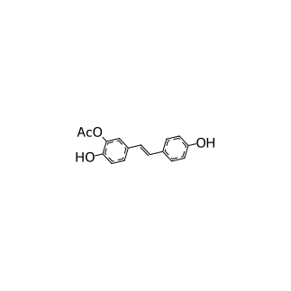 CC(=O)Oc1cc(C=Cc2ccc(O)cc2)ccc1O